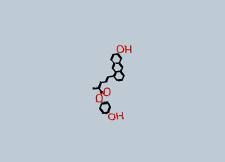 CC(=CC=Cc1cccc2cc3cc(O)ccc3cc12)C(=O)Oc1ccc(O)cc1